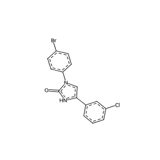 O=c1[nH]c(-c2cccc(Cl)c2)cn1-c1ccc(Br)cc1